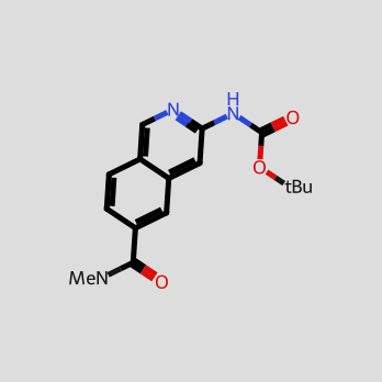 CNC(=O)c1ccc2cnc(NC(=O)OC(C)(C)C)cc2c1